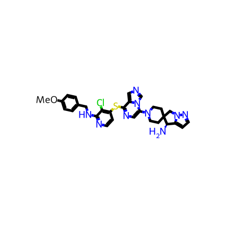 COc1ccc(CNc2nccc(Sc3ncc(N4CCC5(CC4)Cn4nccc4[C@H]5N)n4cncc34)c2Cl)cc1